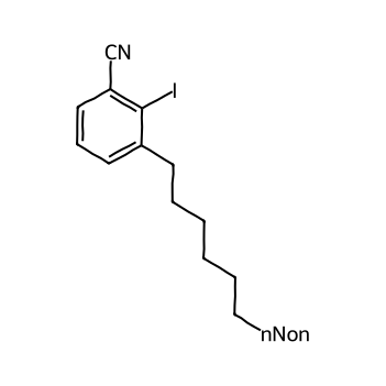 CCCCCCCCCCCCCCCc1cccc(C#N)c1I